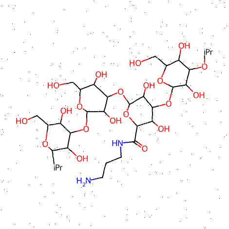 CC(C)OC1C(O)C(CO)OC(OC2C(O)C(OC3C(O)C(CO)OC(OC4C(O)C(CO)OC(C(C)C)C4O)C3O)OC(C(=O)NCCCN)C2O)C1O